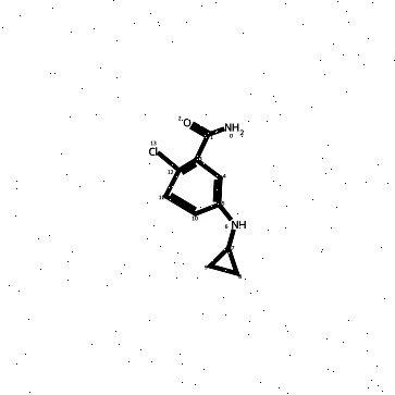 NC(=O)c1cc(NC2CC2)ccc1Cl